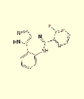 Fc1cccnc1C1=Nc2cn[nH]c2-c2ccccc2N1